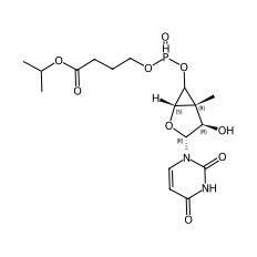 CC(C)OC(=O)CCCO[PH](=O)OC1[C@H]2O[C@@H](n3ccc(=O)[nH]c3=O)[C@H](O)[C@@]12C